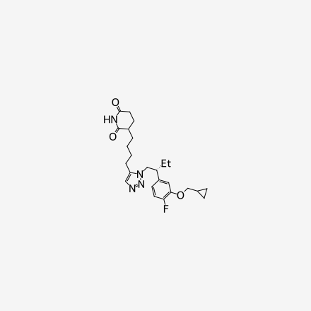 CC[C@@H](Cn1nncc1CCCCC1CCC(=O)NC1=O)c1ccc(F)c(OCC2CC2)c1